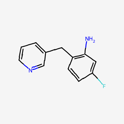 Nc1cc(F)ccc1Cc1cccnc1